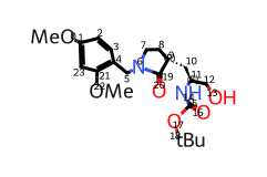 COc1ccc(CN2CC[C@H](C[C@@H](CO)NC(=O)OC(C)(C)C)C2=O)c(OC)c1